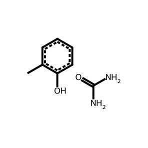 Cc1ccccc1O.NC(N)=O